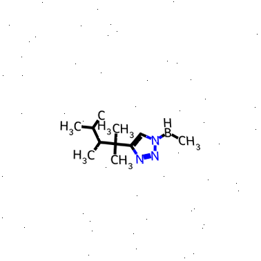 CBn1cc(C(C)(C)C(C)C(C)C)nn1